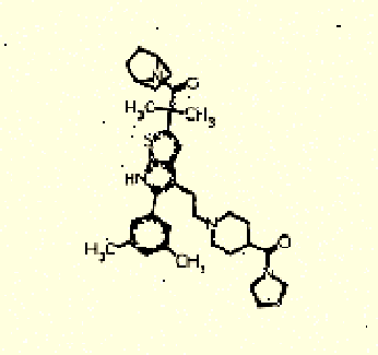 Cc1cc(C)cc(-c2[nH]c3sc(C(C)(C)C(=O)N4C5CCC4CC5)cc3c2CCN2CCC(C(=O)N3CCCC3)CC2)c1